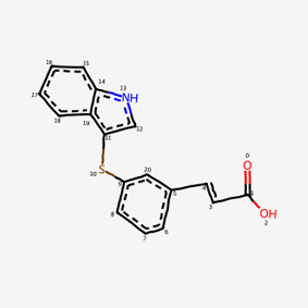 O=C(O)C=Cc1cccc(Sc2c[nH]c3ccccc23)c1